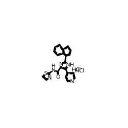 Cl.Cl.O=C(Nc1nccs1)c1nc(-c2cccc3ccccc23)[nH]c1-c1ccncc1